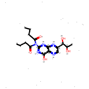 CCCC(=O)N(C(=O)CCC)c1nc(O)c2ncc(C(O)C(C)O)nc2n1